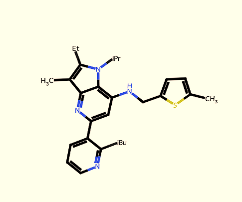 CCc1c(C)c2nc(-c3cccnc3C(C)CC)cc(NCc3ccc(C)s3)c2n1C(C)C